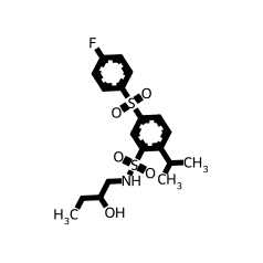 CCC(O)CNS(=O)(=O)c1cc(S(=O)(=O)c2ccc(F)cc2)ccc1C(C)C